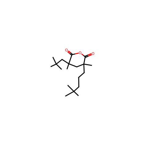 CC(C)(C)CCCC1(C)CC(C)(CC(C)(C)C)C(=O)OC1=O